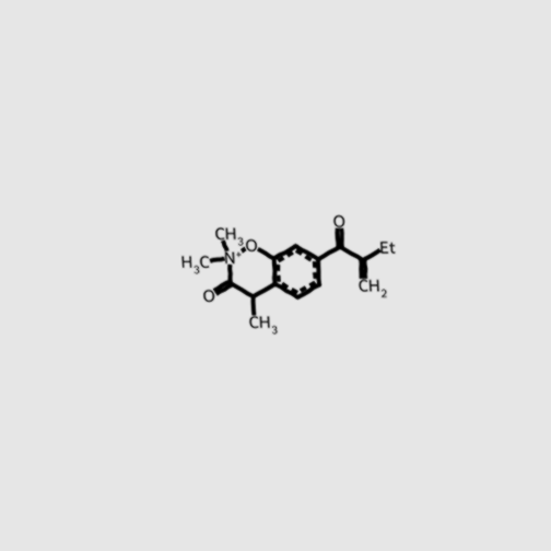 C=C(CC)C(=O)c1ccc2c(c1)O[N+](C)(C)C(=O)C2C